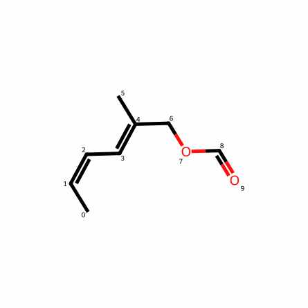 C/C=C\C=C(/C)COC=O